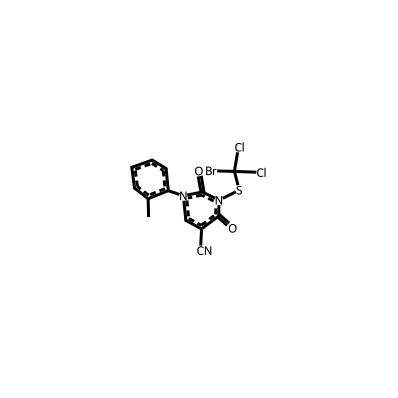 Cc1ccccc1-n1cc(C#N)c(=O)n(SC(Cl)(Cl)Br)c1=O